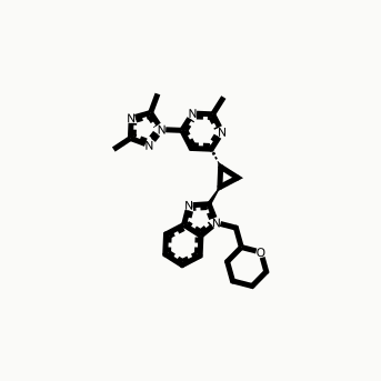 Cc1nc([C@@H]2C[C@H]2c2nc3ccccc3n2CC2CCCCO2)cc(-n2nc(C)nc2C)n1